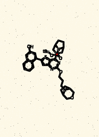 CC(C)(C)OC(=O)N1C2CCC1CN(c1nc(OCCCN3C4CCC3COC4)nc3cc(-c4cc(O)cc5ccccc45)sc13)C2